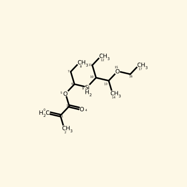 C=C(C)C(=O)OC(CC)[SiH2]C(CC)C(C)OCC